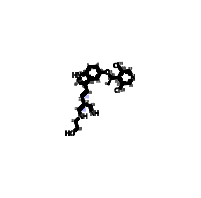 C[C@@H](Oc1ccc2[nH]nc(/C=C/C(C=N)=C/NCCO)c2c1)c1c(Cl)cncc1Cl